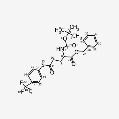 CC(C)(C)OC(=O)NC(CCC(=O)Sc1ccc(C(F)(F)F)cc1)C(=O)OCc1ccccc1